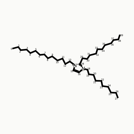 CCCCCCCCCCCCCC[n+]1ccn(CCCCCCCCCC)c1CCCCCCCCCCC